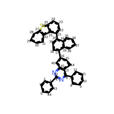 c1ccc(-c2nc(-c3ccccc3)c3ccc(-c4ccc(-c5cccc6sc7ccccc7c56)c5ccccc45)cc3n2)cc1